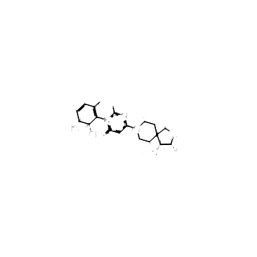 Cc1nc(N2CCC3(CC2)CO[C@@H](C)[C@H]3N)cc(=O)n1C1=C(F)C=C[C@H](Cl)[C@@H]1Cl